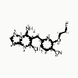 Cc1nc2ncnn2c(N)c1Cc1ccc(C#N)c(OCCF)n1